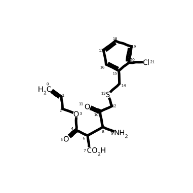 C=CCOC(=O)C(C(=O)O)C(N)C(=O)CSCc1ccccc1Cl